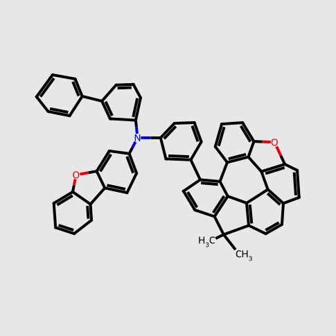 CC1(C)c2ccc(-c3cccc(N(c4cccc(-c5ccccc5)c4)c4ccc5c(c4)oc4ccccc45)c3)c3c2-c2c1ccc1ccc4oc5cccc-3c5c4c21